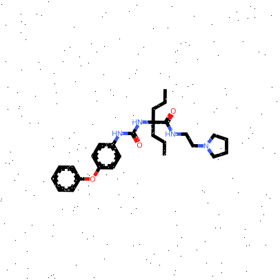 CCCC(CCC)(NC(=O)Nc1ccc(Oc2ccccc2)cc1)C(=O)NCCN1CCCC1